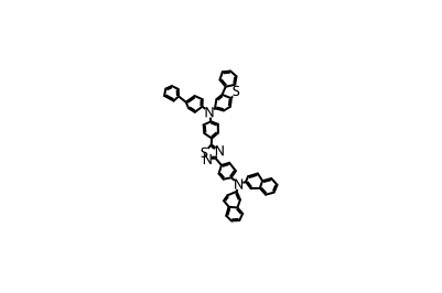 c1ccc(-c2ccc(N(c3ccc(-c4nc(-c5ccc(N(c6ccc7ccccc7c6)c6ccc7ccccc7c6)cc5)ns4)cc3)c3ccc4sc5ccccc5c4c3)cc2)cc1